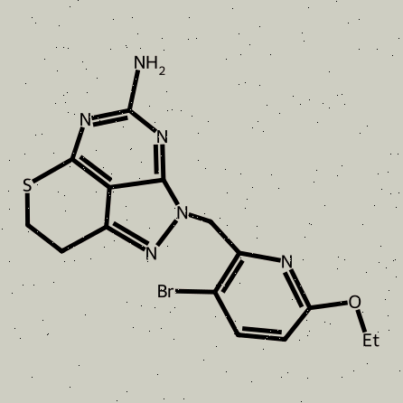 CCOc1ccc(Br)c(Cn2nc3c4c(nc(N)nc42)SCC3)n1